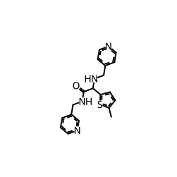 Cc1ccc(C(NCc2ccncc2)C(=O)NCc2cccnc2)s1